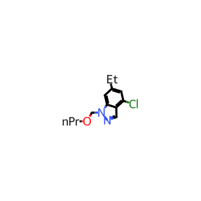 CCCOCn1ncc2c(Cl)cc(CC)cc21